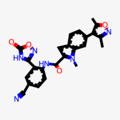 Cc1noc(C)c1-c1ccc2cc(C(=O)Nc3ccc(C#N)cc3-c3noc(=O)[nH]3)n(C)c2c1